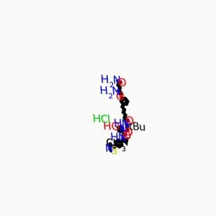 Cc1ncsc1-c1ccc(C2(NC(=O)[C@@H]3C[C@@H](O)CN3C(=O)[C@@H](NC(=O)CCCCCc3cccc(OC[C@@H](N)CCC(N)=O)c3)C(C)(C)C)CC2)cc1.Cl